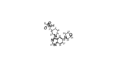 CS(=O)(=O)NCC1CCCN(c2ncnc3ccc(N4CCOCC4)cc23)C1